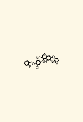 N#Cc1cnc2cc(OC3CCOC3)c([N+](=O)[O-])cc2c1Nc1ccc(OCc2ccccc2F)c(Cl)c1